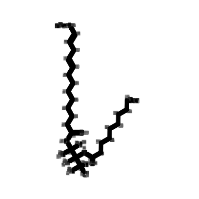 [2H]C([2H])(Cl)C([2H])(OC(=O)CCCCCCCCCCCCCCCCC)C([2H])([2H])OC(=O)CCCCCCCC=CCC=CCCCCC